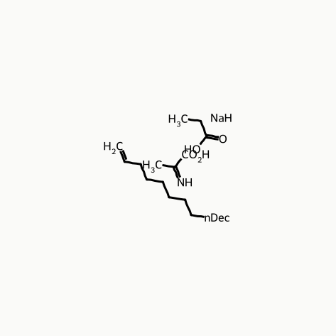 C=CCCCCCCCCCCCCCCCC.CC(=N)C(=O)O.CCC(=O)O.[NaH]